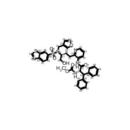 COC(=O)N[C@H](C(=O)Nc1cccnc1CC[C@@H](CO)N(Cc1cnoc1)S(=O)(=O)c1ccc2ncsc2c1)C(c1ccccc1)c1ccccc1